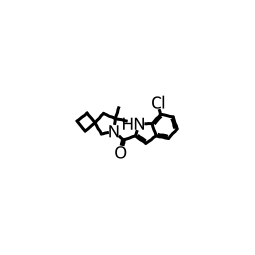 CC1(C)CC2(CCC2)CN1C(=O)c1cc2cccc(Cl)c2[nH]1